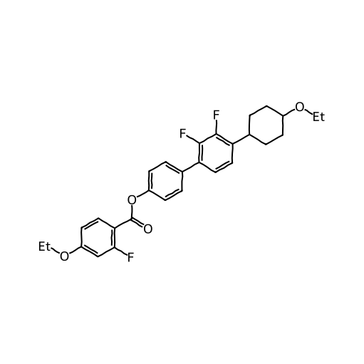 CCOc1ccc(C(=O)Oc2ccc(-c3ccc(C4CCC(OCC)CC4)c(F)c3F)cc2)c(F)c1